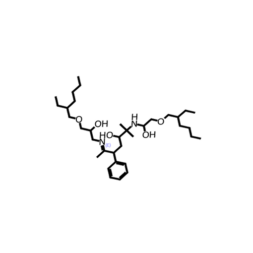 CCCCC(CC)COCC(O)C/N=C(\C)C(CC(O)C(C)(C)NC(O)COCC(CC)CCCC)c1ccccc1